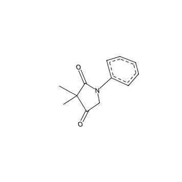 CC1(C)C(=O)CN(c2ccccc2)C1=O